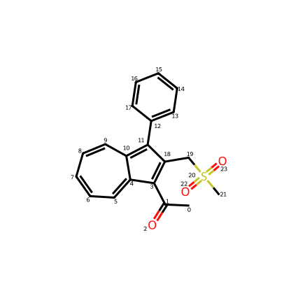 CC(=O)c1c2cccccc-2c(-c2ccccc2)c1CS(C)(=O)=O